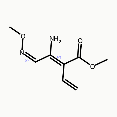 C=C/C(C(=O)OC)=C(N)\C=N/OC